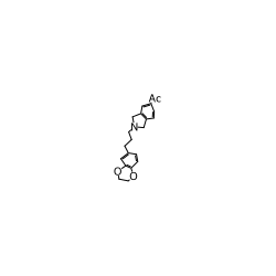 CC(=O)c1ccc2c(c1)CN(CCCc1ccc3c(c1)OCCO3)C2